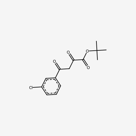 CC(C)(C)OC(=O)C(=O)CC(=O)c1cccc(Cl)c1